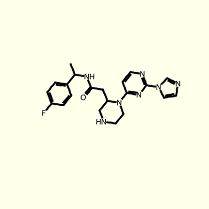 CC(NC(=O)CC1CNCCN1c1ccnc(-n2ccnc2)n1)c1ccc(F)cc1